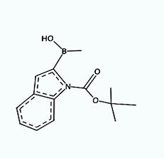 CB(O)c1cc2ccccc2n1C(=O)OC(C)(C)C